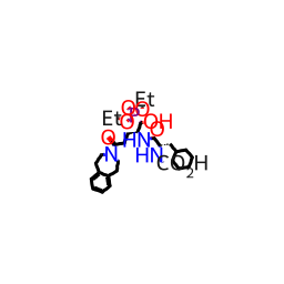 CCOP(=O)(OCC)C(O)[C@H](CCC(=O)N1CCc2ccccc2CC1)NC(=O)[C@H](CC1CCCCC1)NC(=O)O